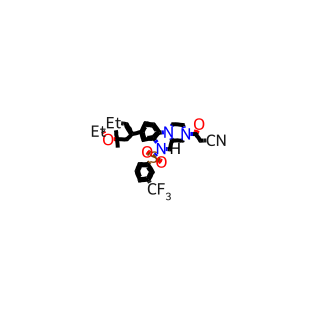 CC/C=C(\CC(C)(C)OCC)c1ccc2c(c1)N(S(=O)(=O)c1cccc(C(F)(F)F)c1)C[C@@H]1CN(C(=O)CC#N)CCN21